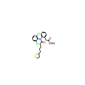 COC(=O)Cc1ccccc1N(C(=O)CCCCC1CCSS1)c1c(Cl)cccc1Cl